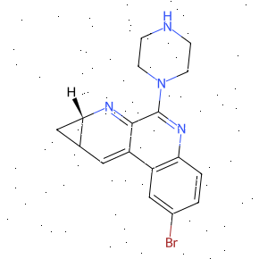 Brc1ccc2nc(N3CCNCC3)c3c(c2c1)=CC1C[C@@H]1N=3